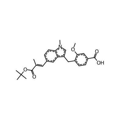 COc1cc(C(=O)O)ccc1Cc1cn(C)c2ccc(/C=C(\C)C(=O)OC(C)(C)C)cc12